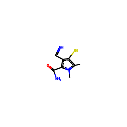 Cc1c(S)c(C=N)c(C(N)=O)n1C